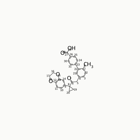 Cc1ccc(CC(=O)C2(c3ccc4c(c3)OCCO4)CC2)cc1-c1ccc(C(=O)O)cc1